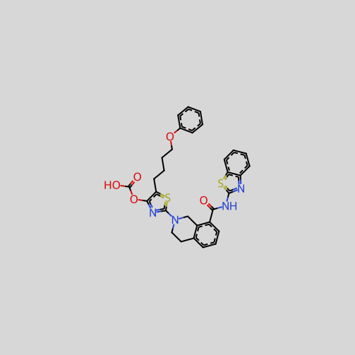 O=C(O)Oc1nc(N2CCc3cccc(C(=O)Nc4nc5ccccc5s4)c3C2)sc1CCCCOc1ccccc1